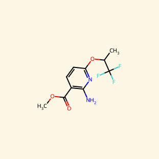 COC(=O)c1ccc(OC(C)C(F)(F)F)nc1N